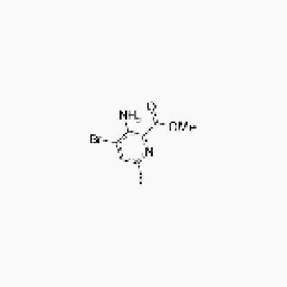 COC(=O)c1nc(Cl)cc(Br)c1N